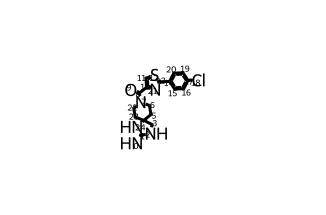 N=C1NCC2(CCN(C(=O)c3csc(-c4ccc(Cl)cc4)n3)CC2)N1